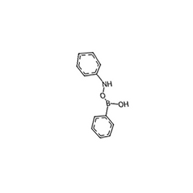 OB(ONc1ccccc1)c1ccccc1